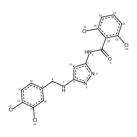 O=C(Nc1nnc(NCc2ccc(Cl)c(Cl)c2)s1)c1c(Cl)cccc1Cl